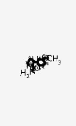 COC1CCCC(c2cccnc2C(N)=O)C1